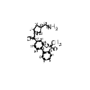 CS(=O)(=O)c1ccccc1-c1ccc(C(=O)N2CCC(CN)C2)cc1